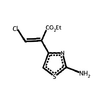 CCOC(=O)C(=CCl)c1csc(N)n1